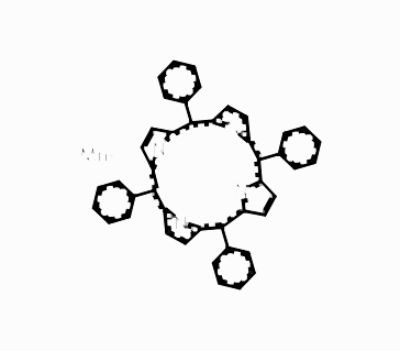 C1=Cc2nc1c(-c1ccccc1)c1ccc([n-]1)c(-c1ccccc1)c1nc(c(-c3ccccc3)c3ccc([n-]3)c2-c2ccccc2)C=C1.[Mn+2]